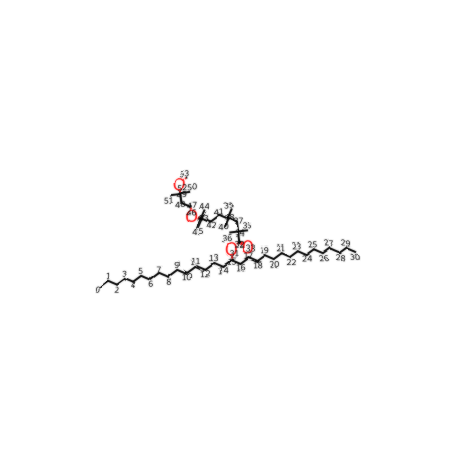 CCCCCCCCCCCCCCCC(CCCCCCCCCCCCCCC)OC(=O)C(C)(C)CC(C)(C)CCC(C)(C)OCCC(C)(C)OC